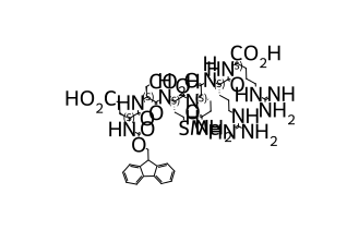 CSCC[C@H](NC(=O)[C@H](CC(=O)O)NC(=O)[C@H](CCC(=O)O)NC(=O)OCC1c2ccccc2-c2ccccc21)C(=O)N[C@@H](CCC(N)=O)C(=O)N[C@@H](CCCNC(=N)N)C(=O)N[C@@H](CCCNC(=N)N)C(=O)O